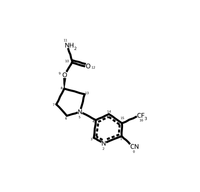 N#Cc1ncc(N2CC[C@@H](OC(N)=O)C2)cc1C(F)(F)F